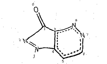 O=C1N=Nc2ccnnc21